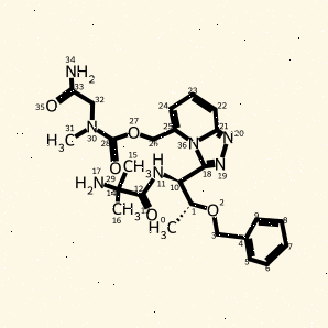 C[C@@H](OCc1ccccc1)[C@@H](NC(=O)C(C)(C)N)c1nnc2cccc(COC(=O)N(C)CC(N)=O)n12